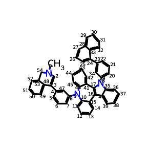 CN1C=C(c2cccc(N3c4ccccc4-c4c(n(-c5cccc(-c6cccc7ccccc67)c5)c5ccccc45)-c4ccccc43)c2)c2ccccc2C1